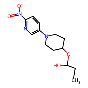 CCC(O)OC1CCN(c2ccc([N+](=O)[O-])nc2)CC1